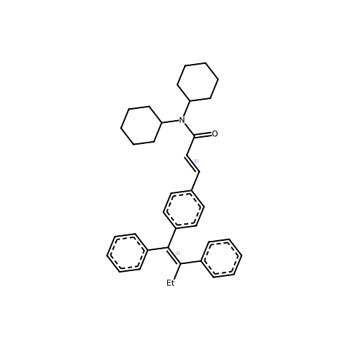 CC/C(=C(\c1ccccc1)c1ccc(/C=C/C(=O)N(C2CCCCC2)C2CCCCC2)cc1)c1ccccc1